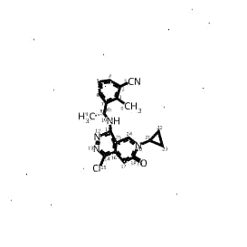 Cc1c(C#N)cccc1[C@@H](C)Nc1nnc(Cl)c2cc(=O)n(C3CC3)cc12